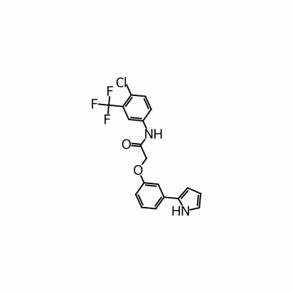 O=C(COc1cccc(-c2ccc[nH]2)c1)Nc1ccc(Cl)c(C(F)(F)F)c1